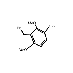 CCCCc1ccc(OC)c(CBr)c1OC